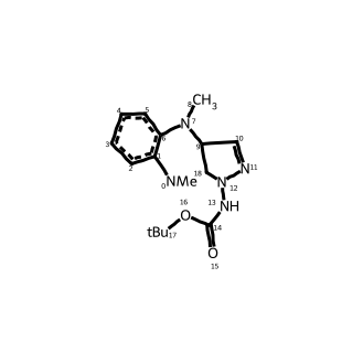 CNc1ccccc1N(C)C1C=NN(NC(=O)OC(C)(C)C)C1